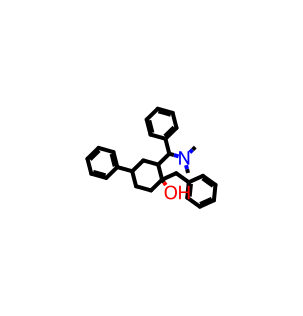 CN(C)C(c1ccccc1)C1CC(c2ccccc2)CCC1(O)Cc1ccccc1